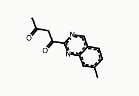 CC(=O)CC(=O)c1ncc2ccc(C)cc2n1